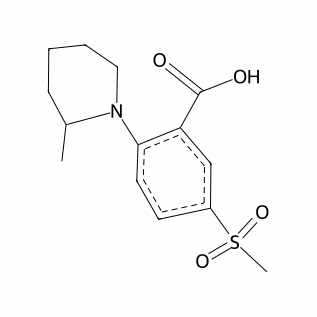 CC1CCCCN1c1ccc(S(C)(=O)=O)cc1C(=O)O